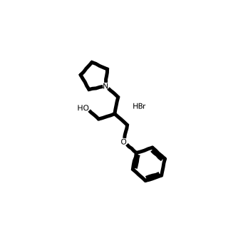 Br.OCC(COc1ccccc1)CN1CCCC1